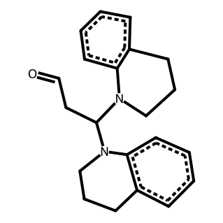 O=CCC(N1CCCc2ccccc21)N1CCCc2ccccc21